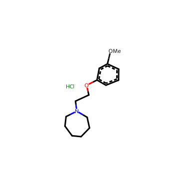 COc1cccc(OCCN2CCCCCC2)c1.Cl